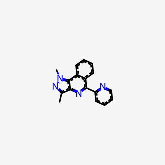 Cc1nn(C)c2c1nc(-c1ccccn1)c1ccccc12